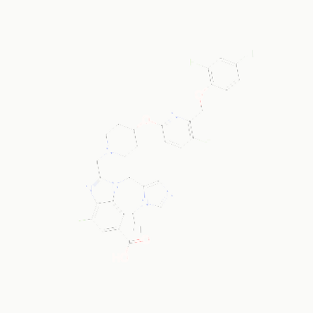 CCn1cncc1Cn1c(CN2CCC(Oc3ccc(F)c(COc4ccc(Cl)cc4F)n3)CC2)nc2c(F)cc(C(=O)O)cc21